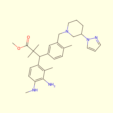 CNc1ccc(C(c2ccc(C)c(CN3CCCC(n4cccn4)C3)c2)C(C)(C)C(=O)OC)c(C)c1N